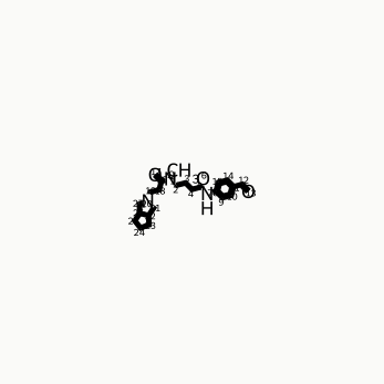 CN(CCCC(=O)Nc1ccc(C=O)cc1)C(=O)CCN1CC2CCCC2C1